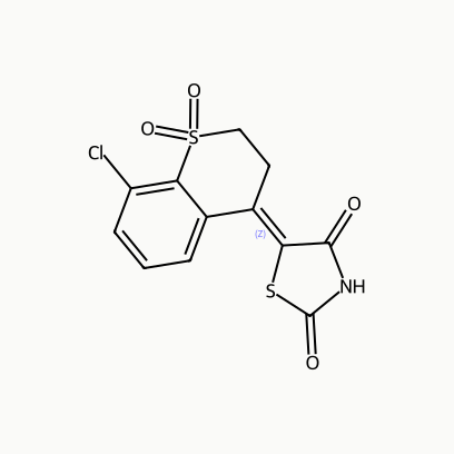 O=C1NC(=O)/C(=C2\CCS(=O)(=O)c3c(Cl)cccc32)S1